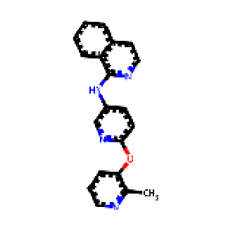 Cc1ncccc1Oc1ccc(Nc2nccc3ccccc23)cn1